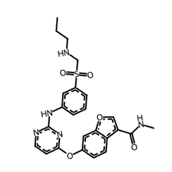 CCCNCS(=O)(=O)c1cccc(Nc2nccc(Oc3ccc4c(C(=O)NC)coc4c3)n2)c1